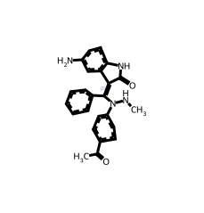 CNN(/C(=C1\C(=O)Nc2ccc(N)cc21)c1ccccc1)c1ccc(C(C)=O)cc1